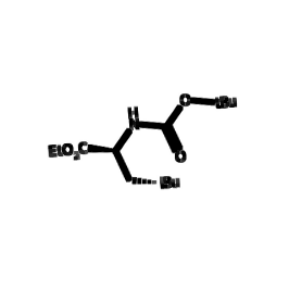 CCOC(=O)[C@H](C[C@@H](C)CC)NC(=O)OC(C)(C)C